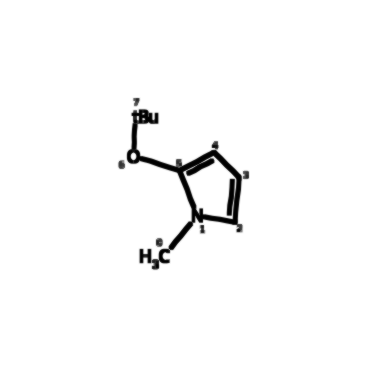 Cn1cccc1OC(C)(C)C